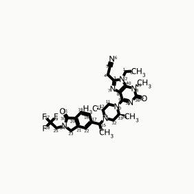 CCn1c(CC#N)nc2c(N3C[C@@H](C)N(C(C)c4ccc5c(c4)CN(CC(F)(F)F)C5=O)C[C@@H]3C)nc(=O)n(C)c21